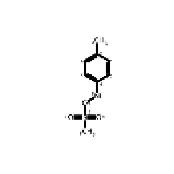 Cc1ccc(NOS(C)(=O)=O)cc1